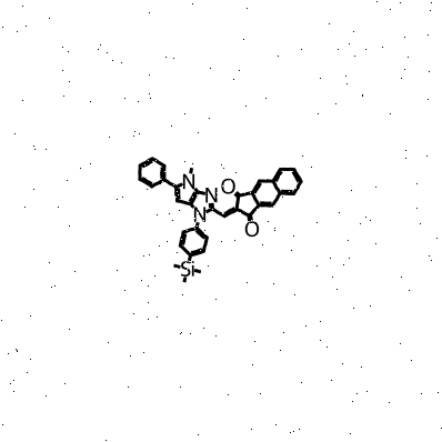 Cn1c(-c2ccccc2)cc2c1nc(C=C1C(=O)c3cc4ccccc4cc3C1=O)n2-c1ccc([Si](C)(C)C)cc1